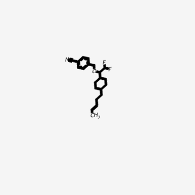 C/C=C/CCC1CCC(C(OCc2ccc(C#N)cc2)C(F)F)CC1